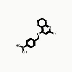 CCc1cc(OCc2ccc(B(O)O)cc2)c2c(n1)CCCC2